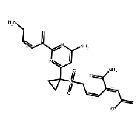 C=C(Cl)/C=C(\C=C/CS(=O)(=O)C1(c2cc(N)nc(C(=C)/C=C\CN)n2)CC1)C(N)=O